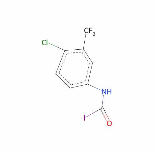 O=C(I)Nc1ccc(Cl)c(C(F)(F)F)c1